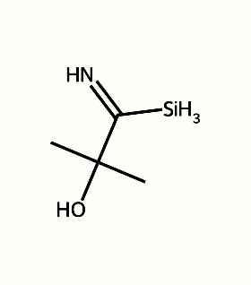 CC(C)(O)C(=N)[SiH3]